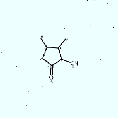 CC1CC(=O)C(C#N)C1C